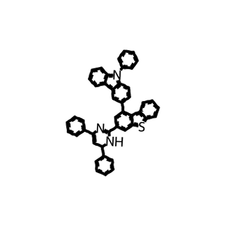 C1=C(c2ccccc2)N=C(c2cc(-c3ccc4c(c3)c3ccccc3n4-c3ccccc3)c3c(c2)sc2ccccc23)NC1c1ccccc1